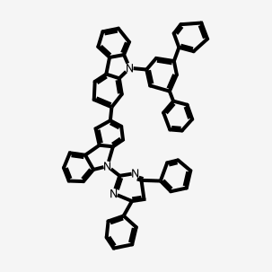 c1ccc(-c2cc(-c3ccccc3)cc(-n3c4ccccc4c4ccc(-c5ccc6c(c5)c5ccccc5n6-c5nc(-c6ccccc6)cc(-c6ccccc6)n5)cc43)c2)cc1